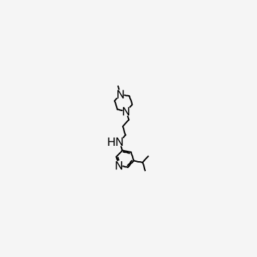 CC(C)c1cncc(NCCCN2CCN(C)CC2)c1